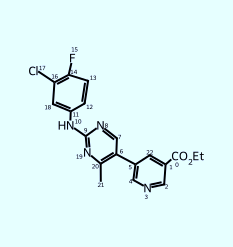 CCOC(=O)c1cncc(-c2cnc(Nc3ccc(F)c(Cl)c3)nc2C)c1